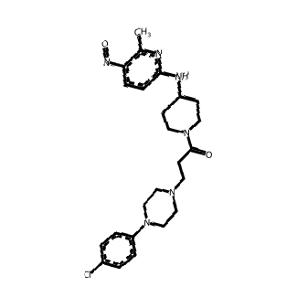 Cc1nc(NC2CCN(C(=O)CCN3CCN(c4ccc(Cl)cc4)CC3)CC2)ccc1N=O